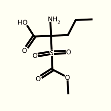 CCCC(N)(C(=O)O)S(=O)(=O)C(=O)OC